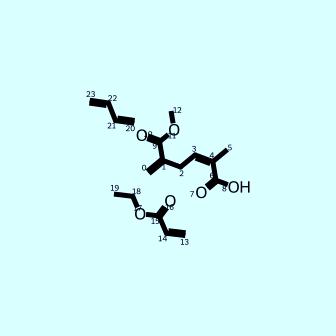 C=C(CC=C(C)C(=O)O)C(=O)OC.C=CC(=O)OCC.C=CC=C